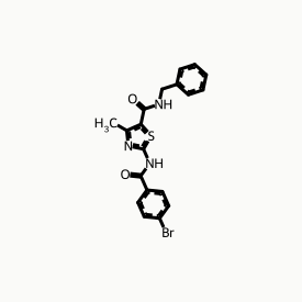 Cc1nc(NC(=O)c2ccc(Br)cc2)sc1C(=O)NCc1ccccc1